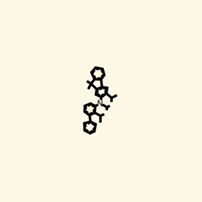 CC(C)c1cc2c(cc1N(c1cccc(-c3ccccc3)c1C(C)C)C(C)C)C(C)(C)c1ccccc1-2